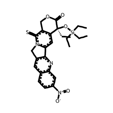 CC[C@@]1(O[Si](CC)(CC)CC)C(=O)OCc2c1cc1n(c2=S)Cc2cc3ccc([N+](=O)[O-])cc3nc2-1